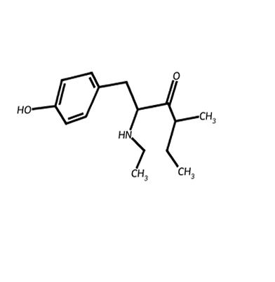 CCNC(Cc1ccc(O)cc1)C(=O)C(C)CC